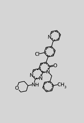 Cc1ccccc1Cn1c(=O)c(-c2ccc(-c3ccccn3)cc2Cl)cc2cnc(NC3CCOCC3)nc21